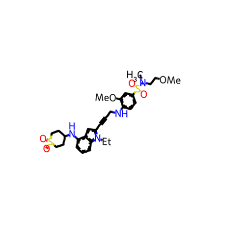 CCn1c(C#CCNc2ccc(S(=O)(=O)N(C)CCOC)cc2OC)cc2c(NC3CCS(=O)(=O)CC3)cccc21